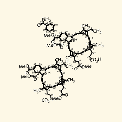 C=CC1=C(C)c2cc3[nH]c(cc4nc(cc5[nH]c(cc1n2)c(C)c5CCC(=O)O)C(CCC(=O)OC)=C4C)[C@@]1(C)C3=CC=C(C(=O)OC)[C@H]1C(=O)OC.C=CC1=C(C)c2cc3[nH]c(cc4nc(cc5[nH]c(cc1n2)c(C)c5CCC(=O)OC)C(CCC(=O)O)=C4C)[C@@]1(C)C3=CC=C(C(=O)OC)[C@H]1C(=O)OC.NC(=O)c1cccnc1